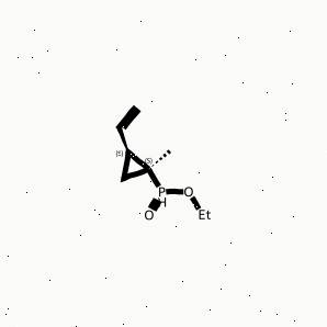 C=C[C@@H]1C[C@]1(C)[PH](=O)OCC